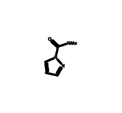 CNC(=O)n1c[c]cn1